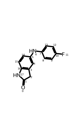 O=C1Cc2cc(Nc3ccc(F)cc3)ccc2N1